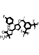 C[C@@H](O[C@H]1CC[C@@H]([C@H]2CC(C)(N)C(=O)N2)[C@@H]1c1ccc(F)cc1)c1cc(C(F)(F)F)cc(C(F)(F)F)c1